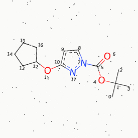 CC(C)(C)OC(=O)n1ccc(OC2CCCC2)n1